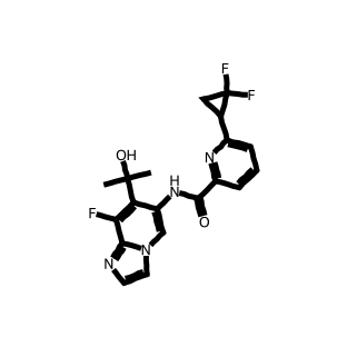 CC(C)(O)c1c(NC(=O)c2cccc(C3CC3(F)F)n2)cn2ccnc2c1F